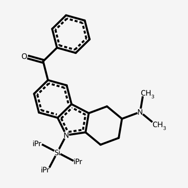 CC(C)[Si](C(C)C)(C(C)C)n1c2c(c3cc(C(=O)c4ccccc4)ccc31)CC(N(C)C)CC2